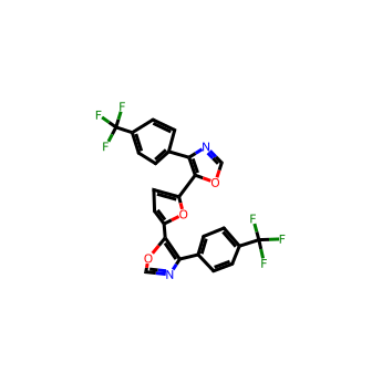 FC(F)(F)c1ccc(-c2ncoc2-c2ccc(-c3ocnc3-c3ccc(C(F)(F)F)cc3)o2)cc1